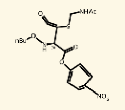 CCCCON[C@H](C(=O)Oc1ccc([N+](=O)[O-])cc1)C(=C=O)SCNC(C)=O